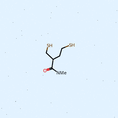 CNC(=O)C(CS)CCS